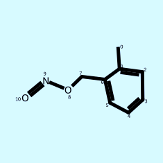 Cc1ccccc1CON=O